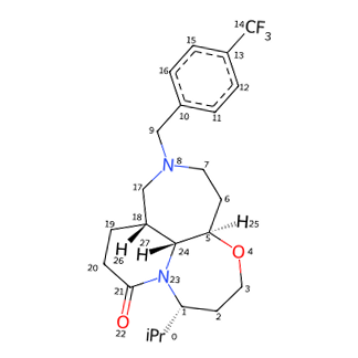 CC(C)[C@H]1CCO[C@@H]2CCN(Cc3ccc(C(F)(F)F)cc3)C[C@H]3CCC(=O)N1[C@H]32